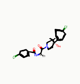 CC(C)[C@@H](NC(=O)c1ccc(Cl)cc1)C(=O)N1CC[C@](O)(c2ccc(Cl)cc2)C(C)(C)C1